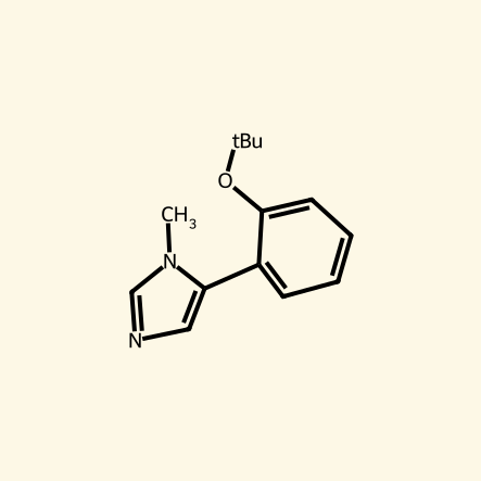 Cn1cncc1-c1ccccc1OC(C)(C)C